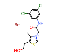 Cc1c(CCO)sc[n+]1CC(=O)Nc1cc(Cl)cc(Cl)c1.[Br-]